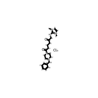 Cn1cc[n+](C)c1SCC(=O)CCCC(=O)N1CCN(Cc2ccccc2)CC1.[Cl-]